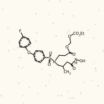 CCOC(=O)OCOC(=O)CCN(CC(C)CC(=O)NO)S(=O)(=O)c1ccc(Oc2ccc(F)cc2)cc1